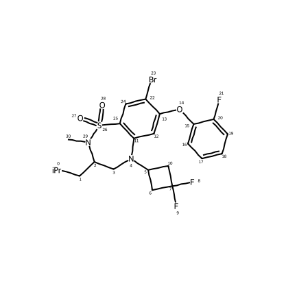 CC(C)CC1CN(C2CC(F)(F)C2)c2cc(Oc3ccccc3F)c(Br)cc2S(=O)(=O)N1C